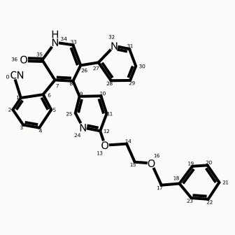 N#Cc1ccccc1-c1c(-c2ccc(OCCOCc3ccccc3)nc2)c(-c2ccccn2)c[nH]c1=O